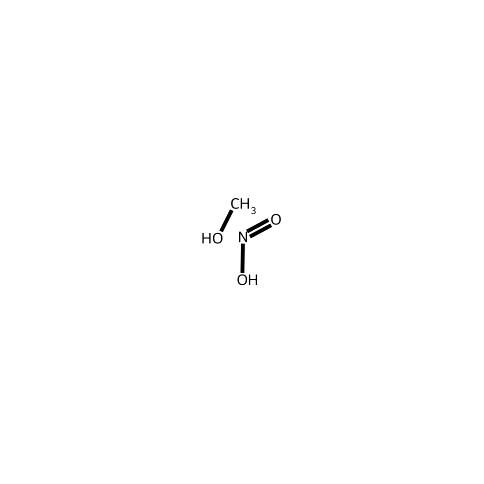 CO.O=NO